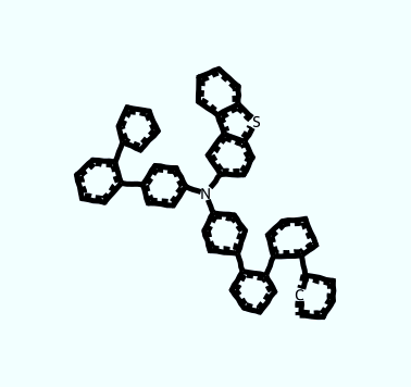 c1ccc(-c2ccccc2-c2ccc(N(c3ccc(-c4ccccc4-c4ccccc4-c4ccccc4)cc3)c3ccc4sc5ccccc5c4c3)cc2)cc1